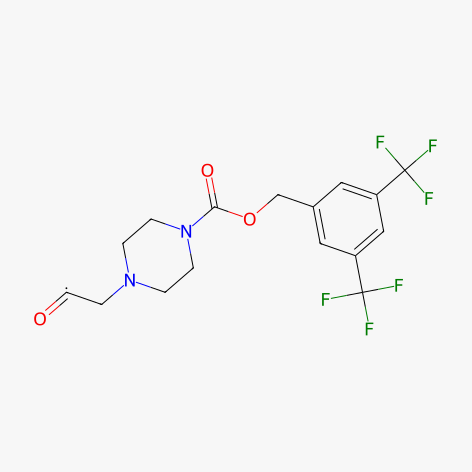 O=[C]CN1CCN(C(=O)OCc2cc(C(F)(F)F)cc(C(F)(F)F)c2)CC1